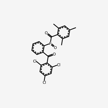 Cc1cc(C)c(C(=O)[P](=O)c2ccccc2C(=O)c2c(Cl)cc(Cl)cc2Cl)c(C)c1